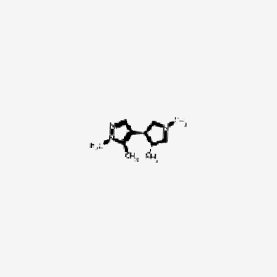 Cc1c([C@H]2CN(C)C[C@@H]2N)cnn1C